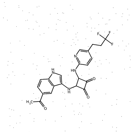 CC(=O)c1ccc2[nH]cc(NC3C(=O)C(=O)C3Nc3ccc(CCC(F)(F)F)cn3)c2c1